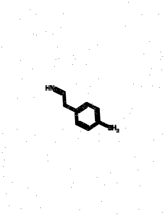 Bc1ccc(CC=N)cc1